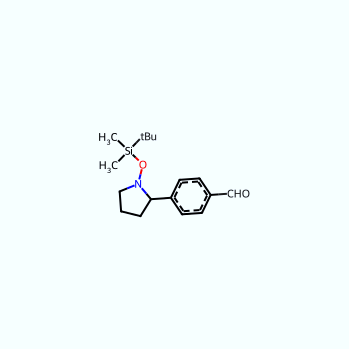 CC(C)(C)[Si](C)(C)ON1CCCC1c1ccc(C=O)cc1